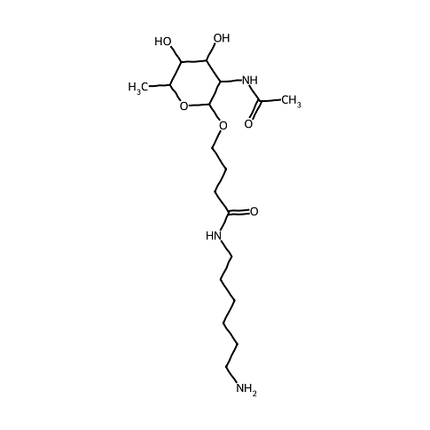 CC(=O)NC1C(OCCCC(=O)NCCCCCCN)OC(C)C(O)C1O